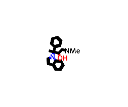 CNCC(O)C(C)(c1ccccc1)n1ccc2ccccc21